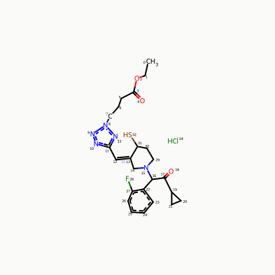 CCOC(=O)CCCn1nnc(/C=C2/CN(C(C(=O)C3CC3)c3ccccc3F)CCC2S)n1.Cl